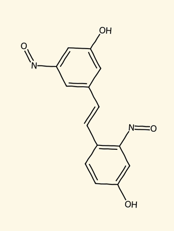 O=Nc1cc(O)cc(/C=C/c2ccc(O)cc2N=O)c1